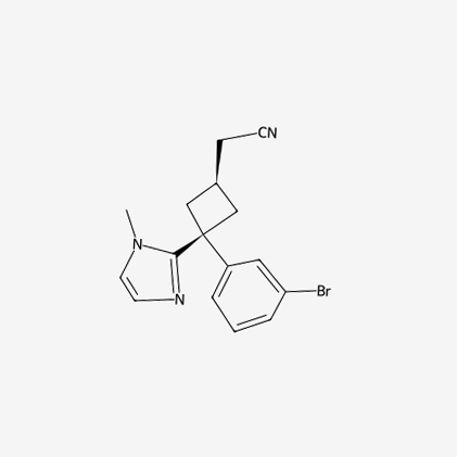 Cn1ccnc1[C@]1(c2cccc(Br)c2)C[C@H](CC#N)C1